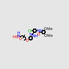 COc1cc(OC)cc(C(=O)Nc2ccc(Cl)c(-c3nc4cc(OC(C)CC(C)(C)CC(=O)NO)ccc4[nH]3)c2)c1